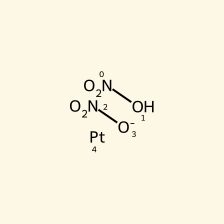 O=[N+]([O-])O.O=[N+]([O-])[O-].[Pt]